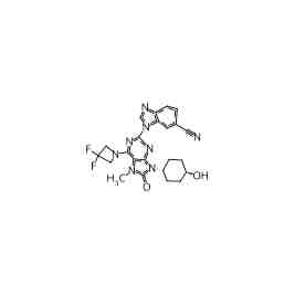 Cn1c(=O)n([C@H]2CC[C@H](O)CC2)c2nc(-n3cnc4ccc(C#N)cc43)nc(N3CC(F)(F)C3)c21